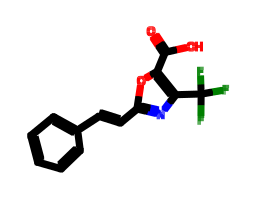 O=C(O)c1oc(C=Cc2ccccc2)nc1C(F)(F)F